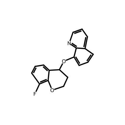 Fc1cccc2c1OCCC2Oc1cccc2cccnc12